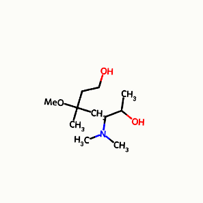 CC(O)CN(C)C.COC(C)(C)CCO